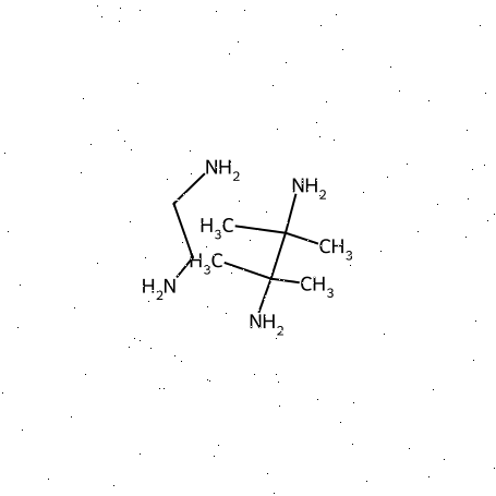 CC(C)(N)C(C)(C)N.NCCN